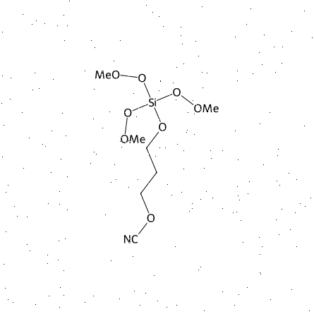 COO[Si](OCCCOC#N)(OOC)OOC